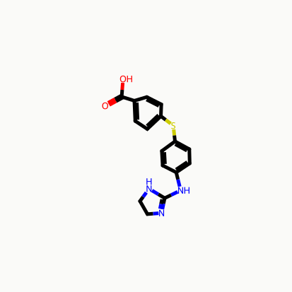 O=C(O)c1ccc(Sc2ccc(NC3=NCCN3)cc2)cc1